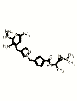 CC(NC(=O)c1ccc(Cn2cc(Cc3cc(N)nc(NN)c3N)cn2)cc1)C1=NN1N(C)C